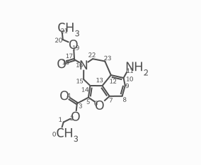 CCOC(=O)c1oc2ccc(N)c3c2c1CN(C(=O)OCC)CC3